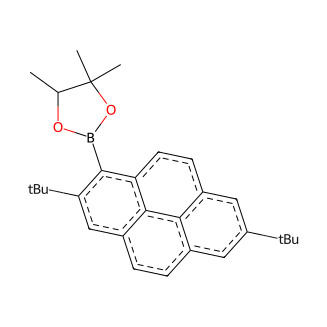 CC1OB(c2c(C(C)(C)C)cc3ccc4cc(C(C)(C)C)cc5ccc2c3c45)OC1(C)C